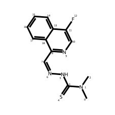 CN(C)C(=S)N/N=C\c1ncc(F)c2ccccc12